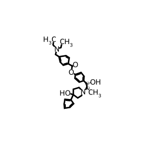 CCN(CC)Cc1ccc(C(=O)Oc2ccc([C@H](O)[C@H](C)N3CCC(O)(c4ccccc4)CC3)cc2)cc1